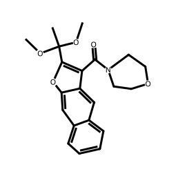 COC(C)(OC)c1oc2cc3ccccc3cc2c1C(=O)N1CCOCC1